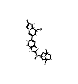 Cc1cn2cc(-c3cc4sc(N(C)C5CC6(C)CCC(C)(C5)N6)nc4cn3)cc(C#N)c2n1